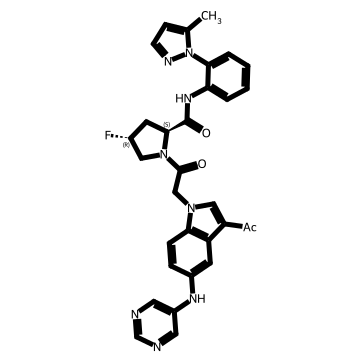 CC(=O)c1cn(CC(=O)N2C[C@H](F)C[C@H]2C(=O)Nc2ccccc2-n2nccc2C)c2ccc(Nc3cncnc3)cc12